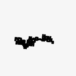 C[C@@H](O)CNCCCOc1ccc2c(Nc3cnn(CC(=O)Nc4cccc(F)c4F)c3)ncnc2c1